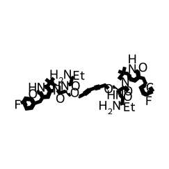 CC[C@H](N)C(=O)N[C@@H](COCC#CC#CCOC[C@H](NC(=O)[C@@H](N)CC)C(=O)N1CC(C)(C)c2[nH]c(=O)c(Cc3ccc(F)cc3)cc21)C(=O)N1CC(C)(C)c2[nH]c(=O)c(Cc3ccc(F)cc3)cc21